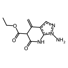 C=C1c2cnn(N)c2NC(=O)C1C(=O)OCC